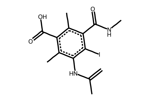 C=C(C)Nc1c(C)c(C(=O)O)c(C)c(C(=O)NC)c1I